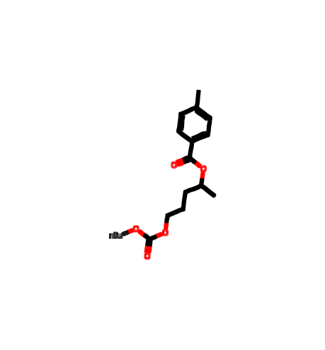 CCCCOC(=O)OCCCC(C)OC(=O)c1ccc(C)cc1